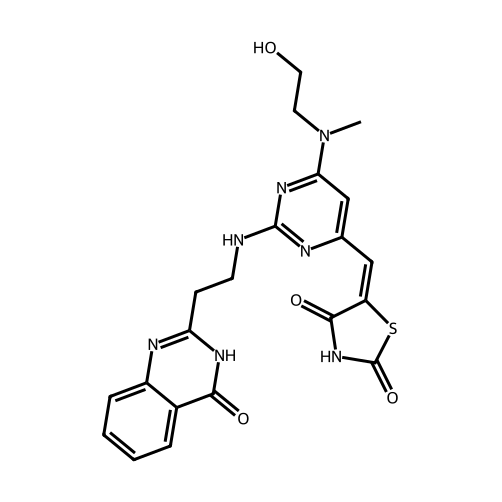 CN(CCO)c1cc(C=C2SC(=O)NC2=O)nc(NCCc2nc3ccccc3c(=O)[nH]2)n1